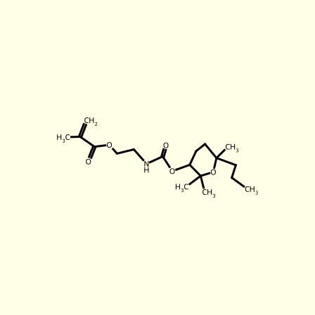 C=C(C)C(=O)OCCNC(=O)OC1CCC(C)(CCC)OC1(C)C